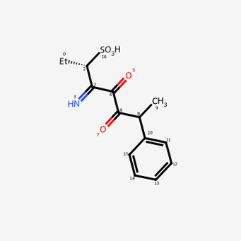 CC[C@@H](C(=N)C(=O)C(=O)C(C)c1ccccc1)S(=O)(=O)O